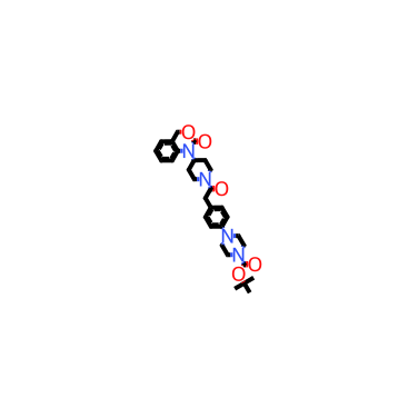 CC(C)(C)OC(=O)N1CCN(c2ccc(CC(=O)N3CCC(N4C(=O)OCc5ccccc54)CC3)cc2)CC1